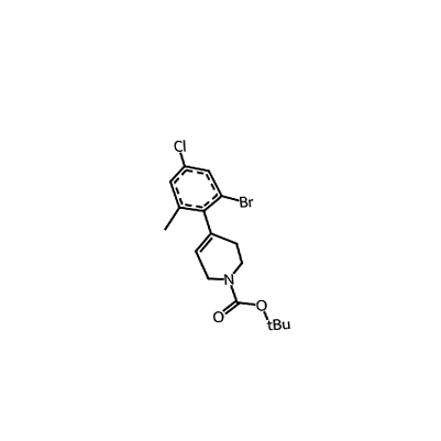 Cc1cc(Cl)cc(Br)c1C1=CCN(C(=O)OC(C)(C)C)CC1